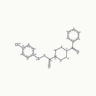 O=C(c1ccccc1)C1CCN(C(=O)CSc2ccc(Cl)cc2)CC1